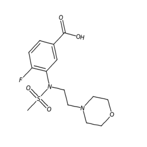 CS(=O)(=O)N(CCN1CCOCC1)c1cc(C(=O)O)ccc1F